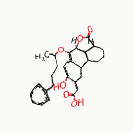 CC(CCCc1ccccc1)OC1=C2C=C(O)C(=CC(=O)O)CC2C2CCC[C@@H]3C(=O)O[C@H]1C23